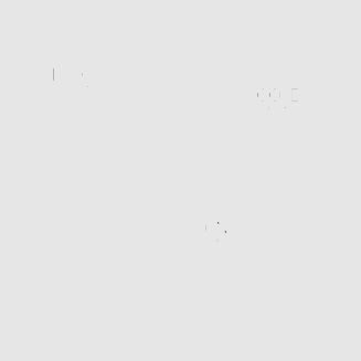 CCOC(=O)c1cc(C(=O)OCC)cc(C2(C#N)CCCC2)c1